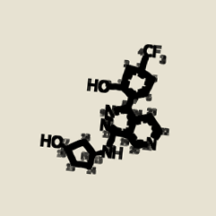 Oc1cc(C(F)(F)F)ccc1-c1nnc(N[C@H]2CC[C@H](O)C2)c2cnccc12